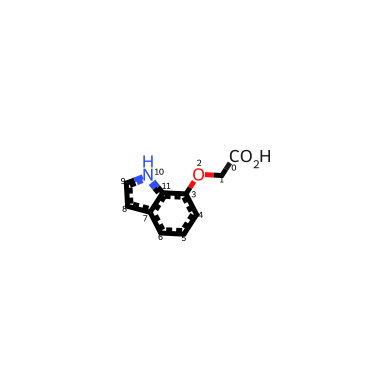 O=C(O)COc1cccc2cc[nH]c12